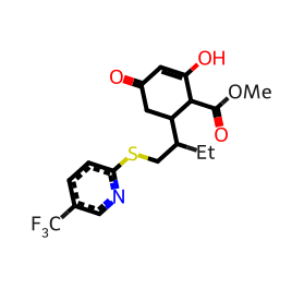 CCC(CSc1ccc(C(F)(F)F)cn1)C1CC(=O)C=C(O)C1C(=O)OC